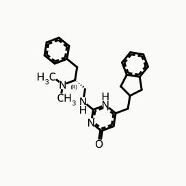 CN(C)[C@@H](CNc1nc(=O)cc(CC2Cc3ccccc3C2)[nH]1)Cc1ccccc1